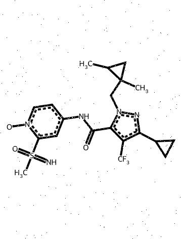 CC1CC1(C)Cn1nc(C2CC2)c(C(F)(F)F)c1C(=O)Nc1cc[n+]([O-])c(S(C)(=N)=O)c1